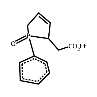 CCOC(=O)CC1C=CCP1(=O)c1ccccc1